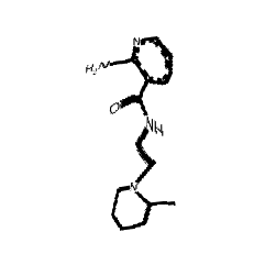 CC1CCCCN1CCNC(=O)c1cccnc1N